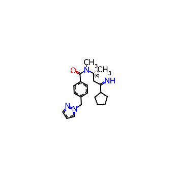 C[C@H](CC(=N)C1CCCC1)N(C)C(=O)c1ccc(Cn2cccn2)cc1